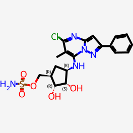 Cc1c(Cl)nc2cc(-c3ccccc3)nn2c1N[C@@H]1C[C@H](COS(N)(=O)=O)[C@@H](O)[C@H]1O